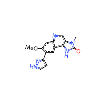 COc1cc2ncc3c([nH]c(=O)n3C)c2cc1-c1cc[nH]n1